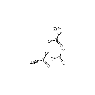 [O]=[Ti]([O-])[O-].[O]=[Ti]([O-])[O-].[O]=[Ti]([O-])[O-].[Zn+2].[Zr+4]